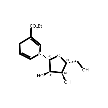 CCOC(=O)C1=CN([C@@H]2O[C@H](CO)[C@@H](O)[C@H]2O)C=CC1